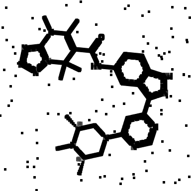 CC1=C(C(=O)Nc2ccc3[nH]nc(-c4cc(N5C[C@@H](C)N(C)[C@@H](C)C5)ncn4)c3c2)C(C)(C)n2nnnc2N1C